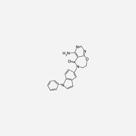 Nc1ncnc2c1C(=O)N(c1ccc3c(ccn3-c3ccccc3)c1)CCO2